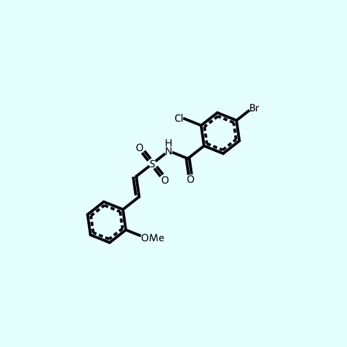 COc1ccccc1C=CS(=O)(=O)NC(=O)c1ccc(Br)cc1Cl